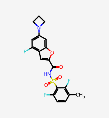 Cc1ccc(F)c(S(=O)(=O)NC(=O)c2cc3c(F)cc(N4CCC4)cc3o2)c1F